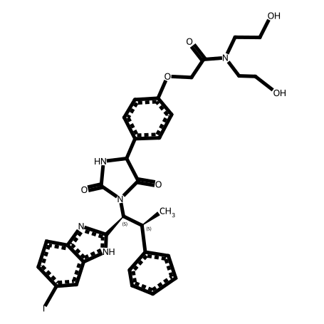 C[C@@H](c1ccccc1)[C@@H](c1nc2ccc(I)cc2[nH]1)N1C(=O)NC(c2ccc(OCC(=O)N(CCO)CCO)cc2)C1=O